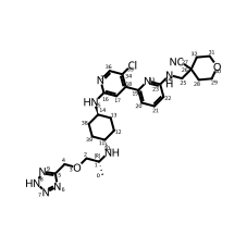 C[C@H](COCc1nn[nH]n1)N[C@H]1CC[C@H](Nc2cc(-c3cccc(NCC4(C#N)CCOCC4)n3)c(Cl)cn2)CC1